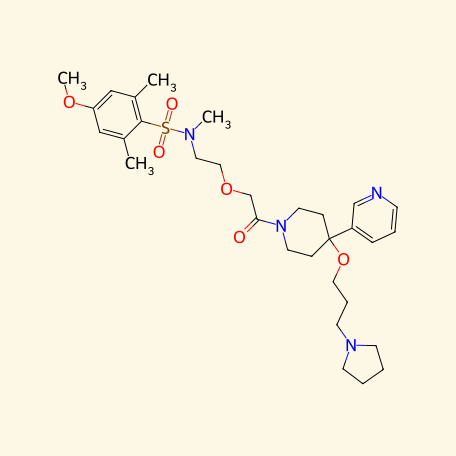 COc1cc(C)c(S(=O)(=O)N(C)CCOCC(=O)N2CCC(OCCCN3CCCC3)(c3cccnc3)CC2)c(C)c1